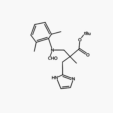 Cc1cccc(C)c1N(C=O)CC(C)(Cc1ncc[nH]1)C(=O)OC(C)(C)C